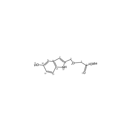 COC(=O)COCc1cc2cc(O)ccc2[nH]1